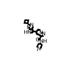 CN1CCC(NC(=O)c2cnn3ccc(-c4c[nH]c5nc(C6CCC6)ncc45)cc23)CC1